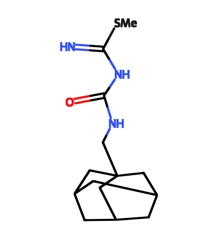 CSC(=N)NC(=O)NCC12CC3CC(CC(C3)C1)C2